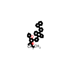 C=Cc1c(/C=C\C)oc2c(-c3cccc(-c4c5ccccc5c(-c5cccc(-c6cccc7ccccc67)c5)c5ccccc45)c3)c3oc4ccccc4c3cc12